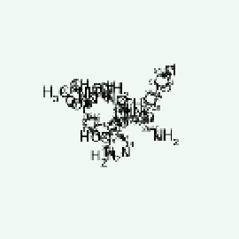 CC(=O)[C@H](C)NC(=O)[C@@H]1Cc2ccc(O)c(c2)-c2cc(cc(C#CCN)c2OCCN)C(N(C)C(=O)[C@H](CCCCN)NC(=O)c2ccc(-c3ccc(Cl)cc3)cc2)C(=O)N[C@@H](N)C(=O)N1